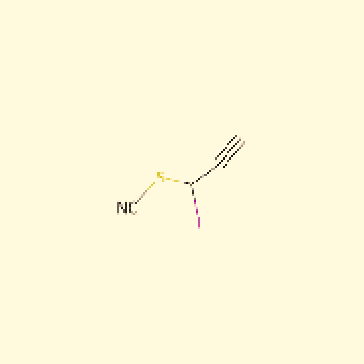 C#CC(I)SC#N